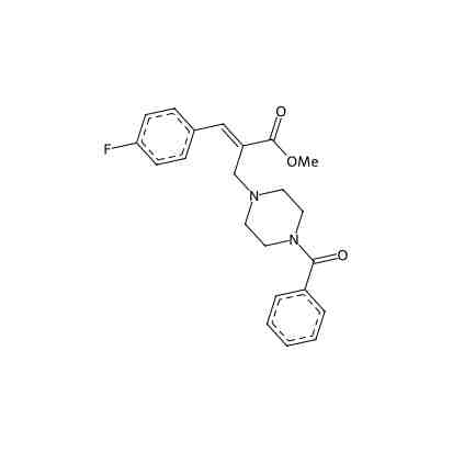 COC(=O)/C(=C/c1ccc(F)cc1)CN1CCN(C(=O)c2ccccc2)CC1